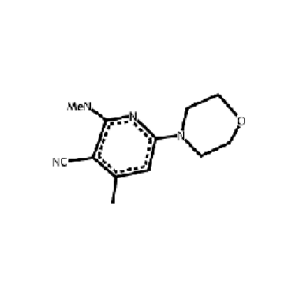 CNc1nc(N2CCOCC2)cc(C)c1C#N